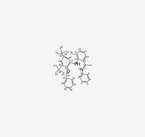 C/C(=N\c1ccccc1)c1cccc(C)c1Pc1cc(C(C)(C)C)cc(C(C)(C)C)c1OCc1ccccc1